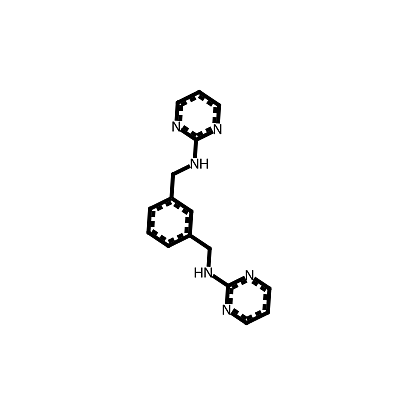 c1cnc(NCc2cccc(CNc3ncccn3)c2)nc1